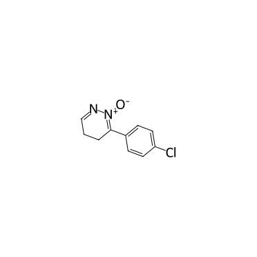 [O-][N+]1=C(c2ccc(Cl)cc2)CCC=N1